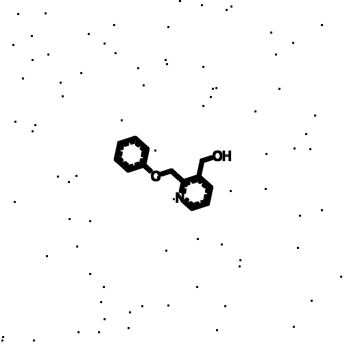 OCc1cccnc1COc1ccccc1